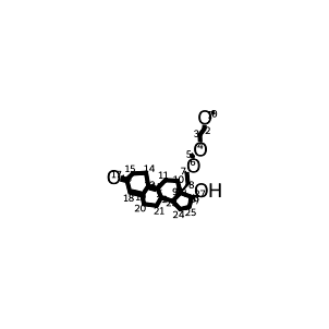 COCCOCOCC[C@]12CCC3=C4CCC(=O)C=C4CCC3C1CC[C@@H]2O